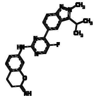 CC(C)c1c2cc(-c3nc(Nc4ccc5c(c4)OC(=N)CC5)ncc3F)ccc2nn1C